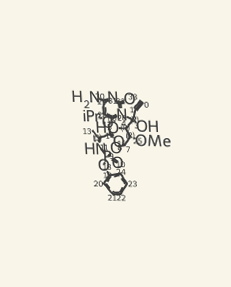 C#C[C@@](O)([C@H](O)[C@@H](COP(=O)(N[C@@H](C)C(=O)OC(C)C)Oc1ccccc1)OC)n1ccc(N)nc1=O